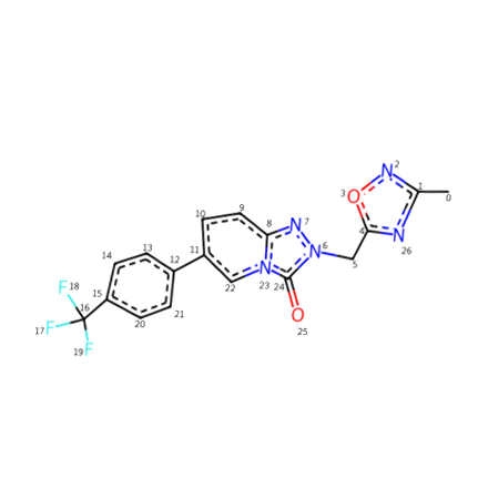 Cc1noc(Cn2nc3ccc(-c4ccc(C(F)(F)F)cc4)cn3c2=O)n1